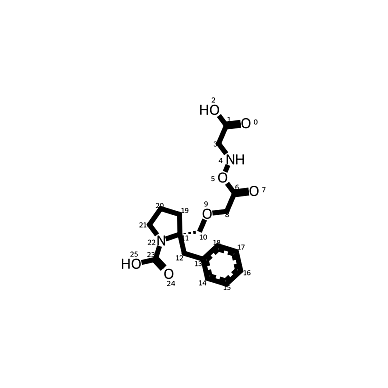 O=C(O)CNOC(=O)COC[C@@]1(Cc2ccccc2)CCCN1C(=O)O